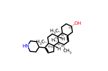 C[C@H]1C=C2C[C@@H](O)CC[C@]2(C)[C@H]2CC[C@]3(C)C(C4CCNCC4)=CC[C@H]3[C@H]12